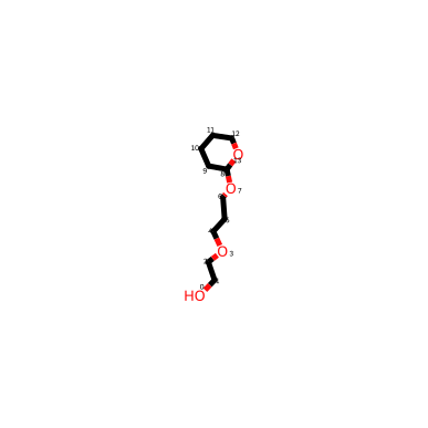 OCCOCCCOC1CCCCO1